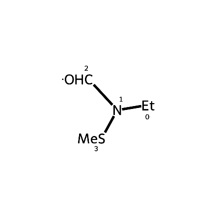 CCN([C]=O)SC